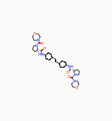 O=C(Nc1ccc(/C=C/c2ccc(NC(=O)[C@@H]3CCCN3C(=O)N3CCOCC3)cc2)cc1)[C@@H]1CCCN1C(=O)N1CCOCC1